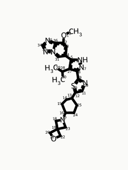 COc1cc(-c2[nH]nc(-c3ncc(C4CCC(N5CC6(COC6)C5)CC4)s3)c2C(C)C)cn2ncnc12